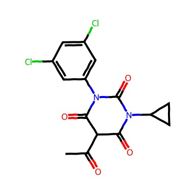 CC(=O)C1C(=O)N(c2cc(Cl)cc(Cl)c2)C(=O)N(C2CC2)C1=O